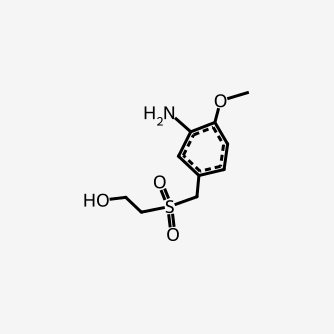 COc1ccc(CS(=O)(=O)CCO)cc1N